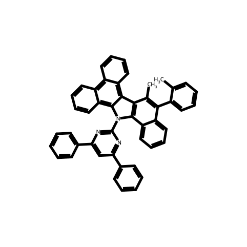 Cc1ccccc1-c1c(C)c2c3c4ccccc4c4ccccc4c3n(-c3nc(-c4ccccc4)cc(-c4ccccc4)n3)c2c2ccccc12